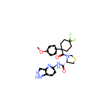 COc1ccc(C2(C(=O)N3CSC[C@@H]3C(=O)Nc3ccc4[nH]ncc4n3)CCC(F)(F)CC2)cc1